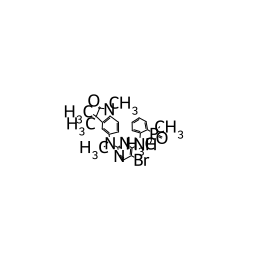 CN1C(=O)C(C)(C)c2cc(N(C)c3ncc(Br)c(Nc4ccccc4P(C)(C)=O)n3)ccc21